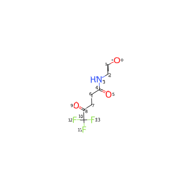 [O]CCNC(=O)CCC(=O)C(F)(F)F